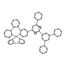 c1ccc(-c2cc(-c3ccccc3)cc(-c3nc(-c4ccccc4)cc(-c4ccc5c(c4)-c4ccccc4-c4ccccc4C54c5ccccc5-c5ccccc54)n3)c2)cc1